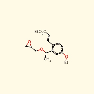 CCOC(=O)/C=C/c1ccc(OCC)cc1[C@@H](C)OC[C@H]1CO1